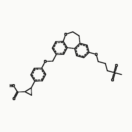 CS(=O)(=O)CCCOc1ccc2c(c1)CCOc1ccc(COc3ccc(C4CC4C(=O)O)cc3)cc1-2